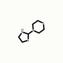 C1CS[C](N2CCSCC2)N1